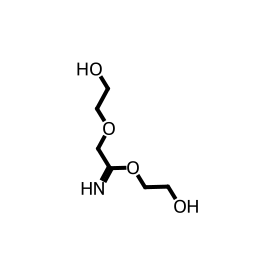 N=C(COCCO)OCCO